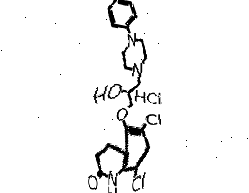 Cl.O=C1CCc2c(c(Cl)cc(Cl)c2OCC(O)CN2CCN(c3ccccc3)CC2)N1